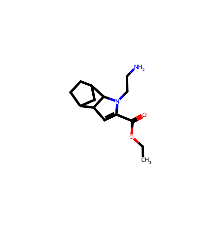 CCOC(=O)C1=CC2C3CCC(C3)C2N1CCN